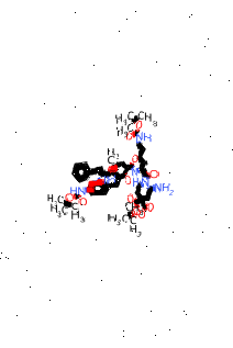 CC(C)CC(C(=O)NC(CCCCNC(=O)OC(C)(C)C)C(=O)N1CCC(C(=O)O)(C(=O)OC(C)(C)C)CC1N)C(=O)C(Cc1ccccc1)C(=O)C(Cc1ccccc1)NCCNC(=O)OC(C)(C)C